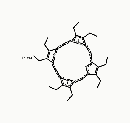 CCC1=C(CC)c2cc3[nH]c(cc4nc(cc5[nH]c(cc1n2)c(CC)c5CC)C(CC)=C4CC)c(CC)c3CC.Cl.[Fe]